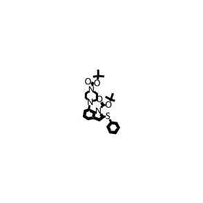 CC(C)(C)OC(=O)N1CCN(c2cccc3cc(Sc4ccccc4)n(C(=O)OC(C)(C)C)c23)CC1